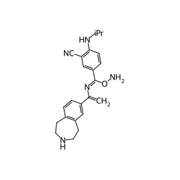 C=C(/N=C(\ON)c1ccc(NC(C)C)c(C#N)c1)c1ccc2c(c1)CCNCC2